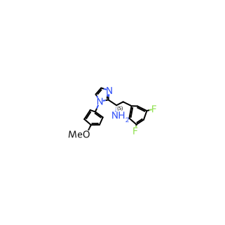 COc1ccc(-n2ccnc2[C@@H](N)Cc2cc(F)cc(F)c2)cc1